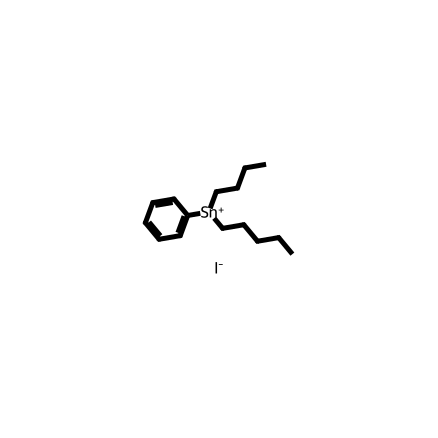 CCCC[CH2][Sn+]([CH2]CCC)[c]1ccccc1.[I-]